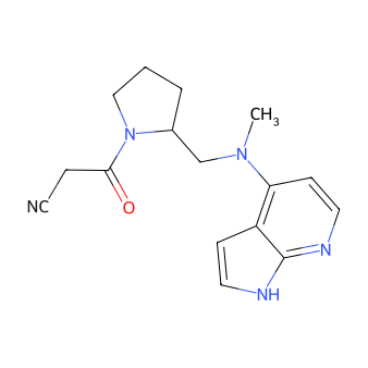 CN(CC1CCCN1C(=O)CC#N)c1ccnc2[nH]ccc12